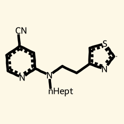 CCCCCCCN(CCc1cs[c]n1)c1cc(C#N)ccn1